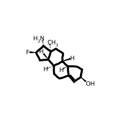 C[C@]12CC[C@H]3[C@@H](CCC4=C[C@H](O)CC[C@@H]43)[C@@H]1C[C@@H](F)[C@@H]2N